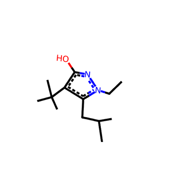 CCn1nc(O)c(C(C)(C)C)c1CC(C)C